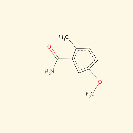 Cc1ccc(OC(F)(F)F)cc1C(N)=O